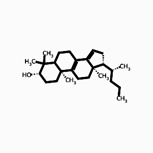 CCC[C@@H](C)[C@H]1CC=C2C3=C(CC[C@@]21C)[C@@]1(C)CC[C@H](O)C(C)(C)C1CC3